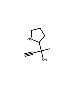 C#CC(C)(O)C1CCCN1